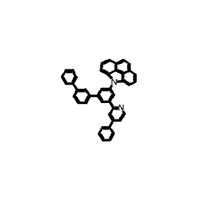 c1ccc(-c2cccc(-c3cc(-c4cc(-c5ccccc5)ccn4)cc(-n4c5cccc6ccc7cccc4c7c65)c3)c2)cc1